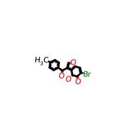 Cc1ccc(C(=O)c2coc3c2C(=O)C(=O)C(Br)=C3)cc1